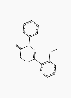 COc1cccnc1C1=NN(c2ccccc2)C(=O)CO1